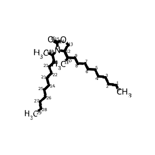 CCCCCCCCCCC(C)C1COC(=O)N1C(C)CCCCCCCCCC